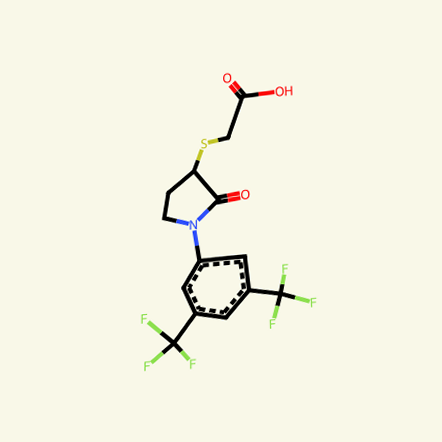 O=C(O)CSC1CCN(c2cc(C(F)(F)F)cc(C(F)(F)F)c2)C1=O